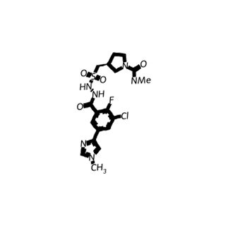 CNC(=O)N1CC[C@H](CS(=O)(=O)NNC(=O)c2cc(-c3cn(C)cn3)cc(Cl)c2F)C1